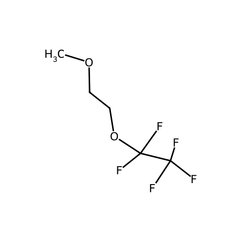 COCCOC(F)(F)C(F)(F)F